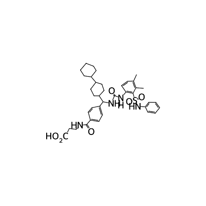 Cc1ccc(NC(=O)NC(c2ccc(C(=O)NCCC(=O)O)cc2)C2CCC(C3CCCCC3)CC2)c(S(=O)(=O)Nc2ccccc2)c1C